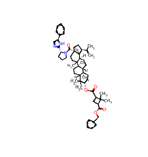 C=C(C)[C@@H]1CC[C@]2(C(=O)N3CCC[C@@H]3c3ncc(-c4ccccc4)[nH]3)CC[C@]3(C)[C@H](CC[C@@H]4[C@@]5(C)CC[C@H](OC(=O)C6CC(C(=O)OCc7ccccc7)C6(C)C)C(C)(C)[C@@H]5CC[C@]43C)[C@@H]12